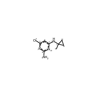 CC1(Nc2cc(Cl)nc(N)n2)CC1